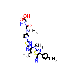 CCc1nc2sc(N3CCC(N(C)CC(=O)NCC(=O)O)C3)nn2c1N(C)c1nc(-c2ccc(C)cc2)c(C#N)s1